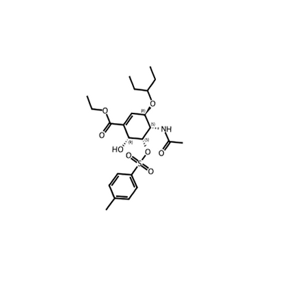 CCOC(=O)C1=C[C@@H](OC(CC)CC)[C@H](NC(C)=O)[C@H](OS(=O)(=O)c2ccc(C)cc2)[C@@H]1O